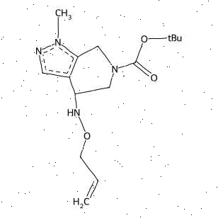 C=CCONC1CN(C(=O)OC(C)(C)C)Cc2c1cnn2C